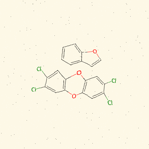 Clc1cc2c(cc1Cl)Oc1cc(Cl)c(Cl)cc1O2.c1ccc2occc2c1